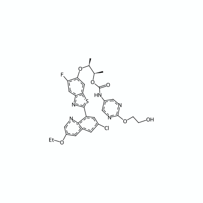 CCOc1cnc2c(-c3nc4cc(F)c(O[C@@H](C)[C@@H](C)OC(=O)Nc5cnc(OCCO)nc5)cc4s3)cc(Cl)cc2c1